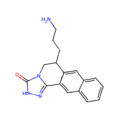 NCCCC1Cn2c(n[nH]c2=O)-c2cc3ccccc3cc21